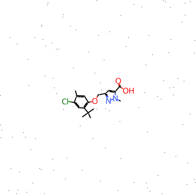 Cc1cc(OCc2cc(C(=O)O)n(C)n2)c(C(C)(C)C)cc1Cl